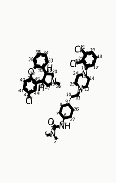 CN(C)C(=O)N[C@H]1CC[C@H](CCN2CCN(c3cccc(Cl)c3Cl)CC2)CC1.CN1C[C@H]2c3ccccc3Oc3ccc(Cl)cc3[C@@H]2C1